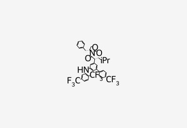 CC(C)C[C@@H](C(=O)N1C(=O)OC[C@H]1Cc1ccccc1)c1cc(Nc2cc(C(F)(F)F)ccc2C(F)(F)F)cc(-c2ccc(C(F)(F)F)cc2)c1